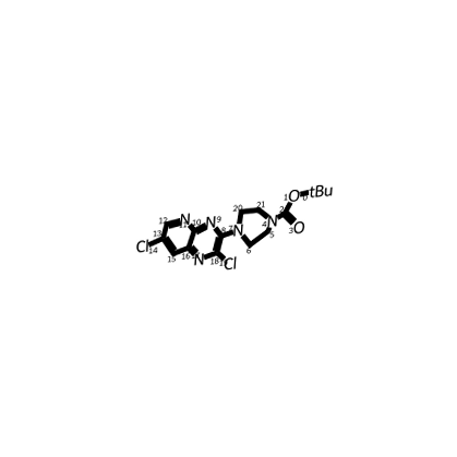 CC(C)(C)OC(=O)N1CCN(c2nc3ncc(Cl)cc3nc2Cl)CC1